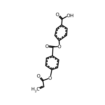 C=CC(=O)Oc1ccc(C(=O)Oc2ccc(C(=O)O)cc2)cc1